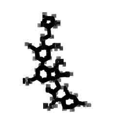 Cc1cc(-c2cc(C(F)(F)F)cc3c2n(C)c(=O)n3CC(=O)N(C)c2ccc(F)cc2F)cc(F)c1OCc1nnc[nH]1